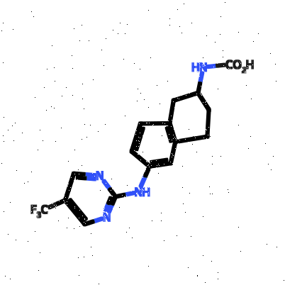 O=C(O)NC1CCc2cc(Nc3ncc(C(F)(F)F)cn3)ccc2C1